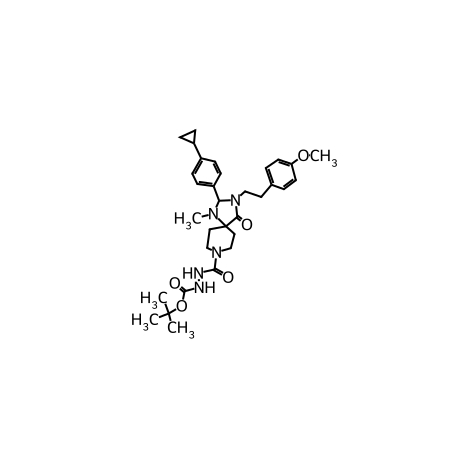 COc1ccc(CCN2C(=O)C3(CCN(C(=O)NNC(=O)OC(C)(C)C)CC3)N(C)C2c2ccc(C3CC3)cc2)cc1